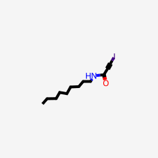 CCCCCCCCCNC(=O)C#CI